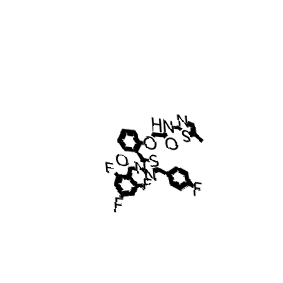 Cc1cnc(NC(=O)COc2ccccc2C2SC(c3ccc(F)cc3)=NN2C(=O)c2c(F)cc(F)cc2F)s1